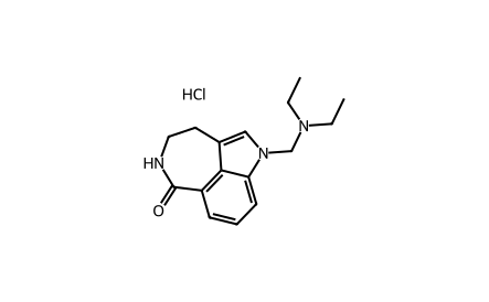 CCN(CC)Cn1cc2c3c(cccc31)C(=O)NCC2.Cl